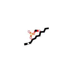 C=C=CC(CCCCCCC)O[PH](=O)OC=O